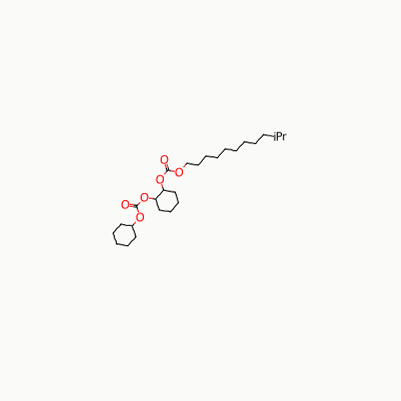 CC(C)CCCCCCCCCOC(=O)OC1CCCCC1OC(=O)OC1CCCCC1